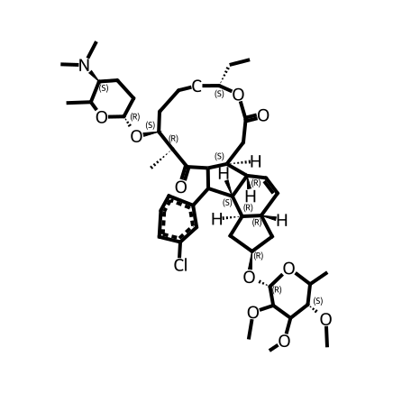 CC[C@H]1CCC[C@H](O[C@H]2CC[C@H](N(C)C)C(C)O2)[C@@H](C)C(=O)C2C(c3cccc(Cl)c3)[C@@H]3[C@@H](C=C[C@@H]4C[C@@H](O[C@@H]5OC(C)[C@H](OC)C(OC)C5OC)C[C@@H]34)[C@@H]2CC(=O)O1